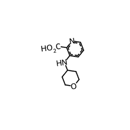 O=C(O)c1ncccc1NC1CCOCC1